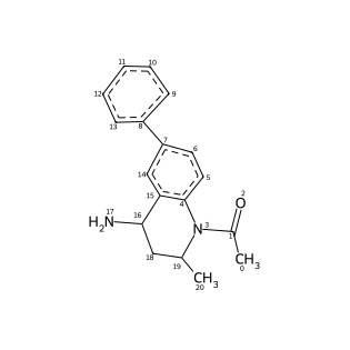 CC(=O)N1c2ccc(-c3ccccc3)cc2C(N)CC1C